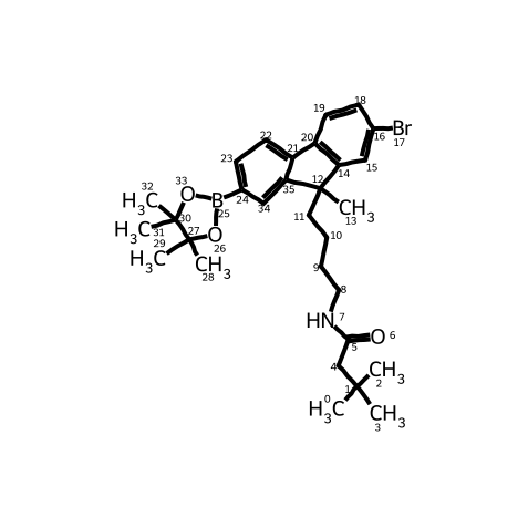 CC(C)(C)CC(=O)NCCCCC1(C)c2cc(Br)ccc2-c2ccc(B3OC(C)(C)C(C)(C)O3)cc21